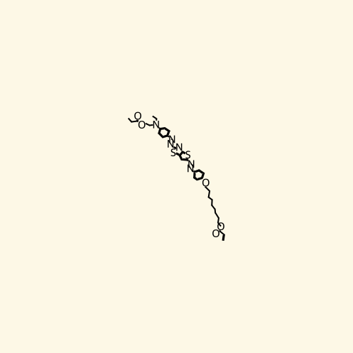 C=CC(=O)OCCCCCCCCCOc1ccc(/N=N/c2cc3sc(/N=N/c4ccc(N(CC)CCOC(=O)CC)cc4)nc3s2)cc1